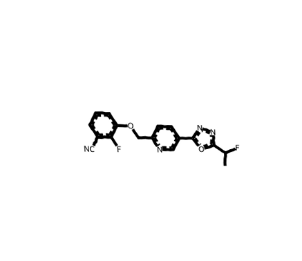 CC(F)c1nnc(-c2ccc(COc3cccc(C#N)c3F)nc2)o1